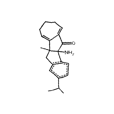 CC(C)c1ccc2c(c1)CC1(C)C3=CCCCC=C3C(=O)C21N